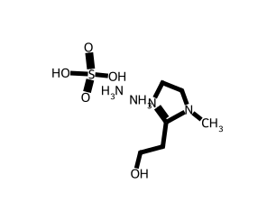 CN1CCN=C1CCO.N.N.O=S(=O)(O)O